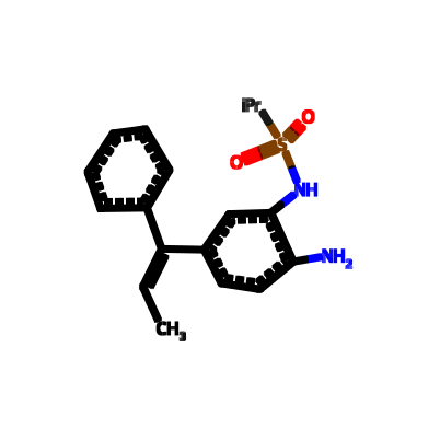 C/C=C(/c1ccccc1)c1ccc(N)c(NS(=O)(=O)C(C)C)c1